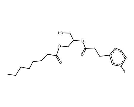 CCCCCCCC(=O)OCC(CO)OC(=O)CCc1cccc(I)c1